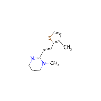 Cc1ccsc1C=CC1=NCCCN1C